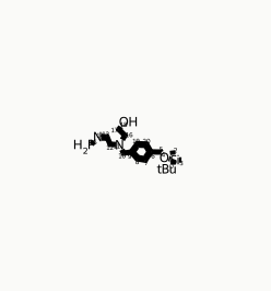 CC(C)(C)[Si](C)(C)OCc1ccc(CN(C/C=N\P)CCO)cc1